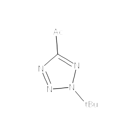 CC(=O)c1nnn(C(C)(C)C)n1